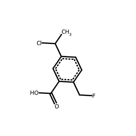 CC(Cl)c1ccc(CF)c(C(=O)O)c1